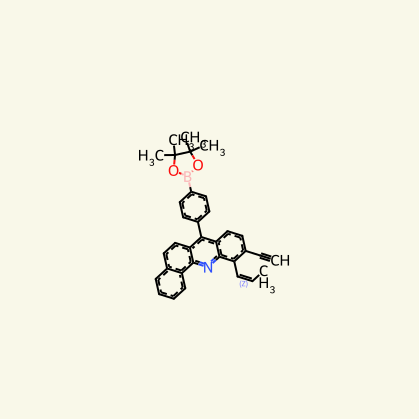 C#Cc1ccc2c(-c3ccc(B4OC(C)(C)C(C)(C)O4)cc3)c3ccc4ccccc4c3nc2c1/C=C\C